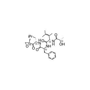 CC(C)=C(C)[C@H](NC(=O)[C@H](C)O)C(=O)N[C@@H](Cc1ccccc1)C(=O)N[C@@H](CC(C)C)C(=O)[C@@]1(C)CO1